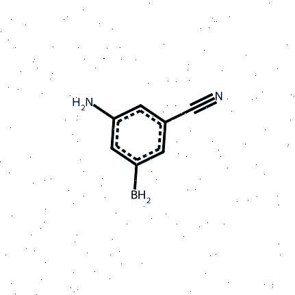 Bc1cc(N)cc(C#N)c1